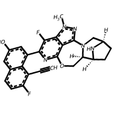 C#Cc1c(F)ccc2cc(O)cc(-c3nc4c5c(nn(C)c5c3F)N3C[C@H]5CC[C@H](N5)[C@H]3CO4)c12